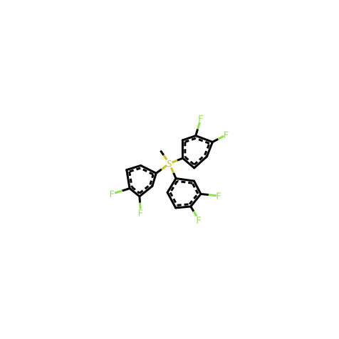 CS(c1ccc(F)c(F)c1)(c1ccc(F)c(F)c1)c1ccc(F)c(F)c1